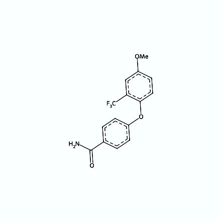 COc1ccc(Oc2ccc(C(N)=O)cc2)c(C(F)(F)F)c1